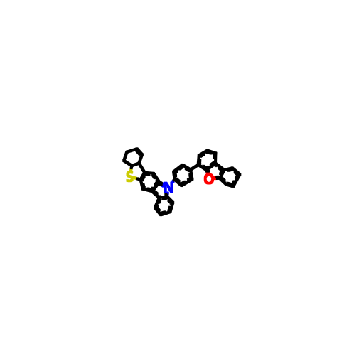 C1=CC2c3cc4c(cc3SC2CC1)c1ccccc1n4-c1ccc(-c2cccc3c2oc2ccccc23)cc1